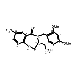 COc1ccc(CN2C(=O)c3cc([N+](=O)[O-])cnc3OC[C@@H]2CC(=O)O)c(OC)c1